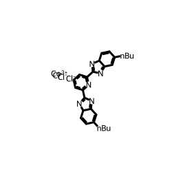 CCCCC1=CC2=NC(c3cccc(C4=NC5C=CC(CCCC)=CC5=N4)n3)=NC2C=C1.[Cl-].[Cl-].[Cl-].[Co+3]